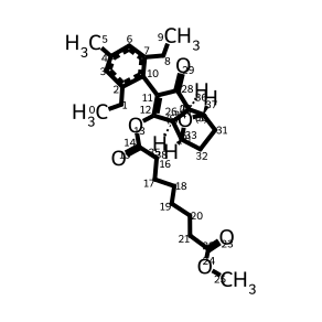 CCc1cc(C)cc(CC)c1C1=C(OC(=O)CCCCCCC(=O)OC)[C@H]2[C@@H](C1=O)[C@@H]1CC[C@H]2O1